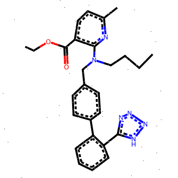 CCCCN(Cc1ccc(-c2ccccc2-c2nnn[nH]2)cc1)c1nc(C)ccc1C(=O)OCC